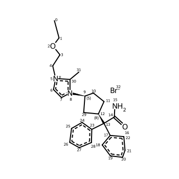 CCOCC[n+]1ccn([C@H]2CC[C@@H](C(C(N)=O)(c3ccccc3)c3ccccc3)C2)c1C.[Br-]